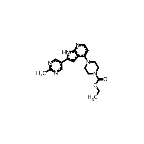 CCOC(=O)N1CCN(c2ccnc3[nH]c(-c4cnc(C)nc4)cc23)CC1